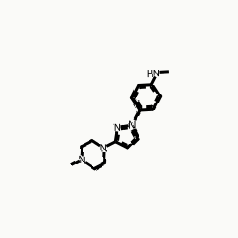 CNc1ccc(-n2ccc(N3CCN(C)CC3)n2)cc1